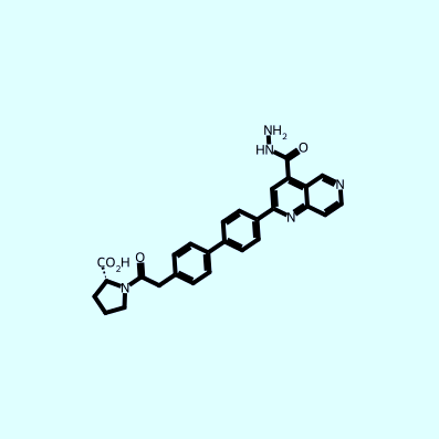 NNC(=O)c1cc(-c2ccc(-c3ccc(CC(=O)N4CCC[C@@H]4C(=O)O)cc3)cc2)nc2ccncc12